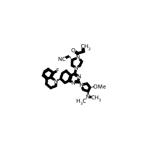 C=CC(=O)N1CCN(c2nc(N3C[C@H](OC)[C@@H](N(C)C)C3)nc3c2CC[C@H](N2CCCc4cccc(F)c42)C3)C[C@@H]1CC#N